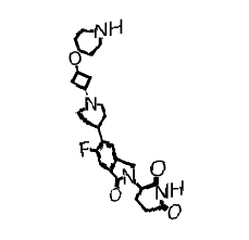 O=C1CCC(N2Cc3cc(C4CCN([C@H]5C[C@H](OC6CCNCC6)C5)CC4)c(F)cc3C2=O)C(=O)N1